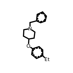 CCc1ccc(OC2CCN(Cc3ccccc3)CC2)cc1